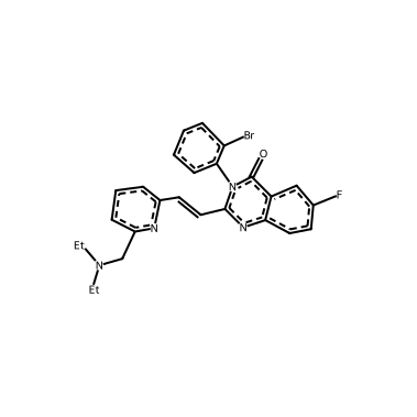 CCN(CC)Cc1cccc(/C=C/c2nc3ccc(F)cc3c(=O)n2-c2ccccc2Br)n1